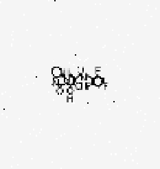 CN1C(=O)c2c(O)c(=O)c(C(=O)NCc3c(F)cc(F)cc3F)cn2[C@@H]2CCCCC21